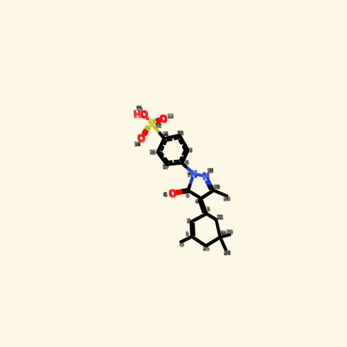 CC1=CC(=C2C(=O)N(c3ccc(S(=O)(=O)O)cc3)N=C2C)CC(C)(C)C1